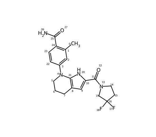 Cc1cc(N2CCCc3cc(C(=O)N4CCC(F)(F)C4)[nH]c32)ccc1C(N)=O